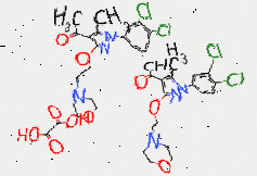 CC(=O)c1c(OCCN2CCOCC2)nn(-c2ccc(Cl)c(Cl)c2)c1C.CC(=O)c1c(OCCN2CCOCC2)nn(-c2ccc(Cl)c(Cl)c2)c1C.O=C(O)C(=O)O